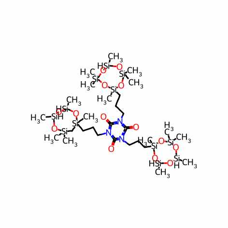 C[SiH]1O[SiH](C)O[Si](C)(CCCn2c(=O)n(CCC[Si]3(C)O[SiH](C)O[SiH](C)O[Si](C)(C)O3)c(=O)n(CCC[Si]3(C)O[Si](C)(C)O[SiH](C)O[Si](C)(C)O3)c2=O)C[Si](C)(C)O1